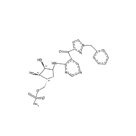 NS(=O)(=O)OC[C@H]1CC(Nc2ncncc2C(=O)c2ccn(Cc3ccccc3)n2)[C@H](O)[C@@H]1O